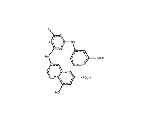 O=S(=O)(O)c1cccc(Nc2nc(F)nc(Nc3ccc4c(O)cc(S(=O)(=O)O)cc4c3)n2)c1